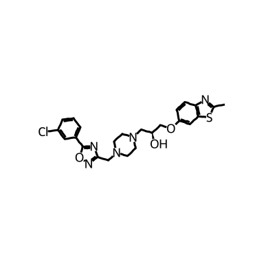 Cc1nc2ccc(OC[C@@H](O)CN3CCN(Cc4noc(-c5cccc(Cl)c5)n4)CC3)cc2s1